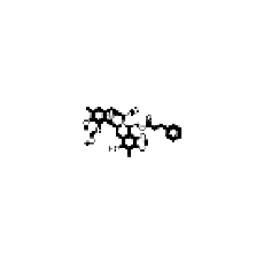 COCOc1c(OC)c(C)cc2c1C1C3Cc4c(O)c(C)c5c(c4[C@H](COC(=O)CCc4ccccc4)N3[C@@H](C#N)C(C2)N1C)OCO5